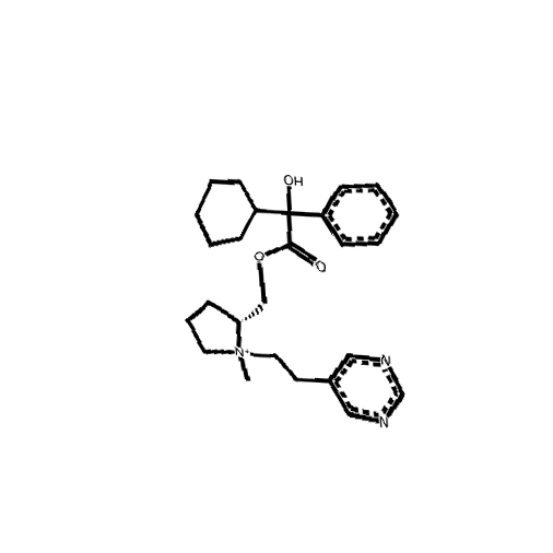 C[N+]1(CCc2cncnc2)CCC[C@@H]1COC(=O)C(O)(c1ccccc1)C1CCCCC1